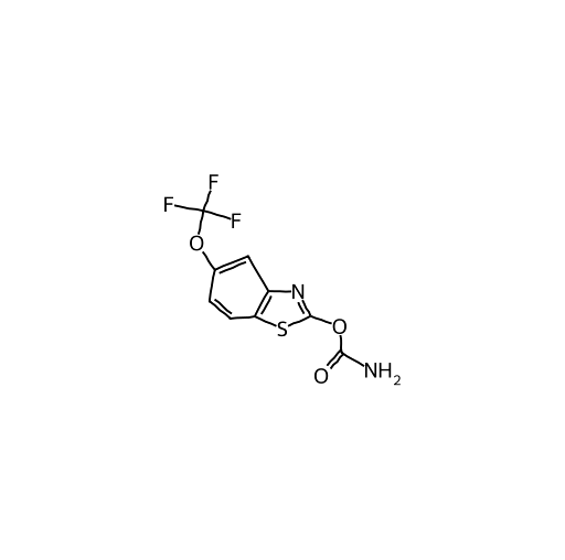 NC(=O)Oc1nc2cc(OC(F)(F)F)ccc2s1